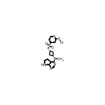 CCOc1cc(S(=O)(=O)C[C@H]2C[C@@H](N(C)c3ncnc4[nH]ccc34)C2)ccn1